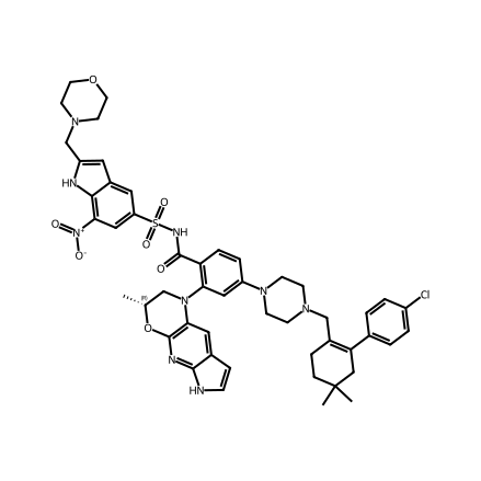 C[C@@H]1CN(c2cc(N3CCN(CC4=C(c5ccc(Cl)cc5)CC(C)(C)CC4)CC3)ccc2C(=O)NS(=O)(=O)c2cc([N+](=O)[O-])c3[nH]c(CN4CCOCC4)cc3c2)c2cc3cc[nH]c3nc2O1